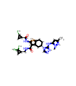 Cn1nc(C(F)(F)F)cc1Nc1nncn1[C@H]1CCc2sc(NC(=O)[C@H]3C[C@H]3F)c(C(=O)NC[C@H]3CC3(F)F)c2C1